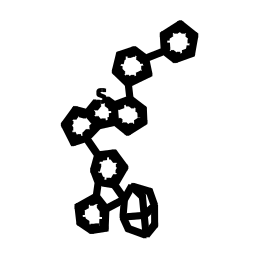 c1ccc(-c2cccc(-c3cccc4c3sc3cccc(-c5ccc6c(c5)-c5ccccc5C65C6CC7CC(C6)CC5C7)c34)c2)cc1